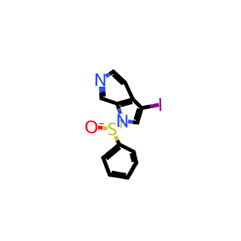 [O-][S+](c1ccccc1)n1cc(I)c2ccncc21